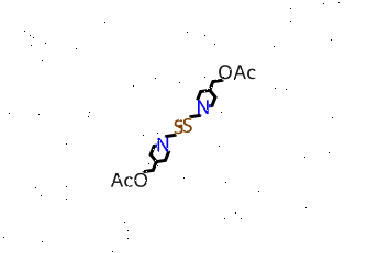 CC(=O)OCCC1CCN(CCSSCCN2CCC(CCOC(C)=O)CC2)CC1